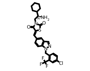 N[C@@H](CN1C(=O)SC(=Cc2ccc3c(cnn3Cc3ccc(Cl)cc3C(F)(F)F)c2)C1=O)C1CCCCC1